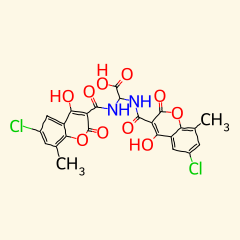 Cc1cc(Cl)cc2c(O)c(C(=O)NC(NC(=O)c3c(O)c4cc(Cl)cc(C)c4oc3=O)C(=O)O)c(=O)oc12